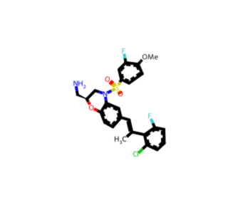 COc1ccc(S(=O)(=O)N2C[C@H](CN)Oc3ccc(C=C(C)c4c(F)cccc4Cl)cc32)cc1F